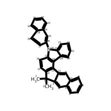 CC1(C)c2cc3ccccc3cc2-c2c1ccc1c2c2ccccc2n1-c1ccc2ccccc2c1